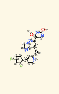 COc1ncc(-c2cc([C@H]3C[C@@H]3c3cc(-c4ccc(F)cc4F)ccn3)c3nccn3n2)c(OC)n1